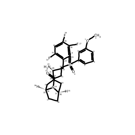 COc1cccc(S(=O)(=O)CCC(=O)N2[C@@H]3CC[C@H]2CC([C@H](N)Cc2cc(F)c(F)cc2F)C3)c1